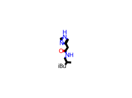 CCC(C)C(C)CNC(=O)Cc1c[nH]cn1